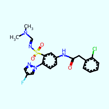 CN(C)C=NS(=O)(=O)c1cc(NC(=O)Cc2ccccc2Cl)ccc1-n1cc(F)cn1